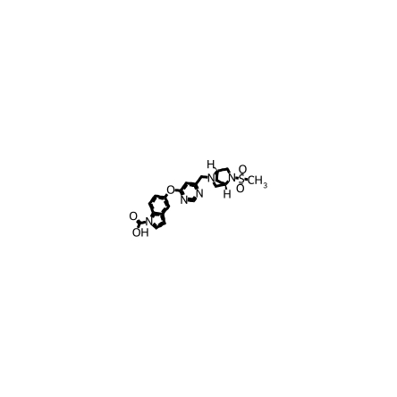 CS(=O)(=O)N1C[C@H]2C[C@H]1CN2Cc1cc(Oc2ccc3c(ccn3C(=O)O)c2)ncn1